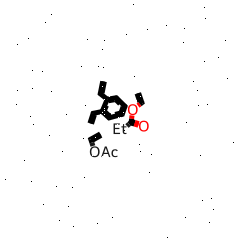 C=COC(=O)CC.C=COC(C)=O.C=Cc1ccccc1C=C